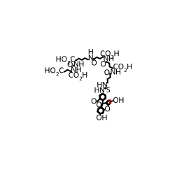 O=C(O)CCC(NC(=O)NC(CCCCNC(=O)CCC(NC(=O)CCC(NC(=O)CCCNC(=S)Nc1ccc2c(c1)C(=O)OC21c2ccc(O)cc2Oc2cc(O)ccc21)C(=O)O)C(=O)O)C(=O)O)C(=O)O